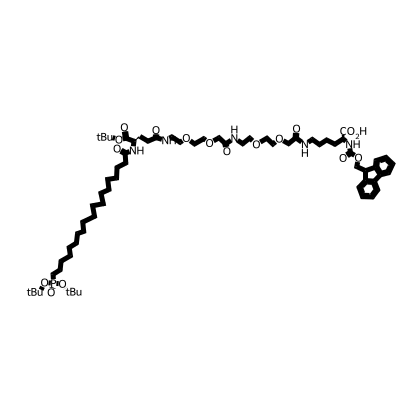 CC(C)(C)OC(=O)[C@H](CCC(=O)NCCOCCOCC(=O)NCCOCCOCC(=O)NCCCC[C@H](NC(=O)OCC1c2ccccc2-c2ccccc21)C(=O)O)NC(=O)CCCCCCCCCCCCCCCCCCP(=O)(OC(C)(C)C)OC(C)(C)C